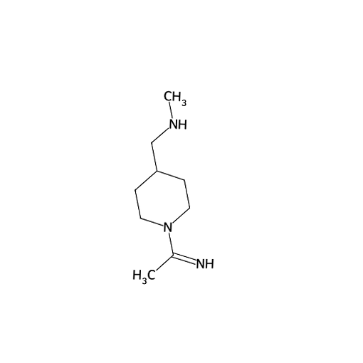 CNCC1CCN(C(C)=N)CC1